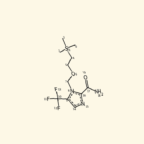 C[Si](C)(C)CCOCn1c(C(F)(F)F)cnc1C(N)=O